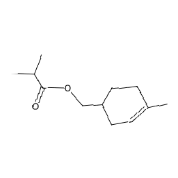 CC1=CCC(COC(=O)C(C)C)CC1